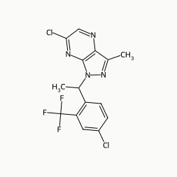 Cc1nn(C(C)c2ccc(Cl)cc2C(F)(F)F)c2nc(Cl)cnc12